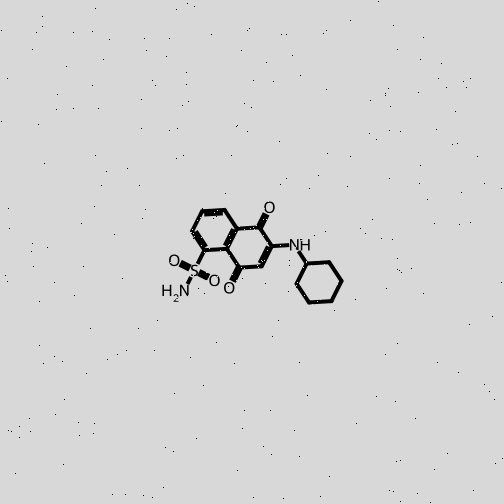 NS(=O)(=O)c1cccc2c1C(=O)C=C(NC1CCCCC1)C2=O